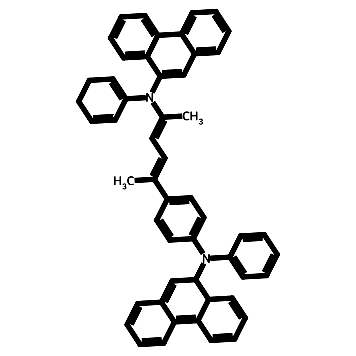 C/C(=C\C=C(/C)N(C1=CCCC=C1)c1cc2ccccc2c2ccccc12)c1ccc(N(c2ccccc2)C2C=c3ccccc3=C3C=CC=CC32)cc1